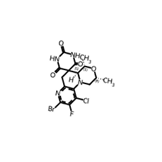 C[C@@H]1CN2c3c(nc(Br)c(F)c3Cl)CC3(C(=O)NC(=O)NC3=O)[C@H]2[C@H](C)O1